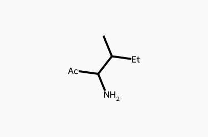 CCC(C)C(N)C(C)=O